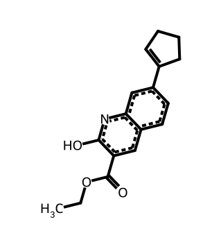 CCOC(=O)c1cc2ccc(C3=CCCC3)cc2nc1O